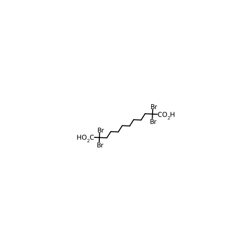 O=C(O)C(Br)(Br)CCCCCCCCC(Br)(Br)C(=O)O